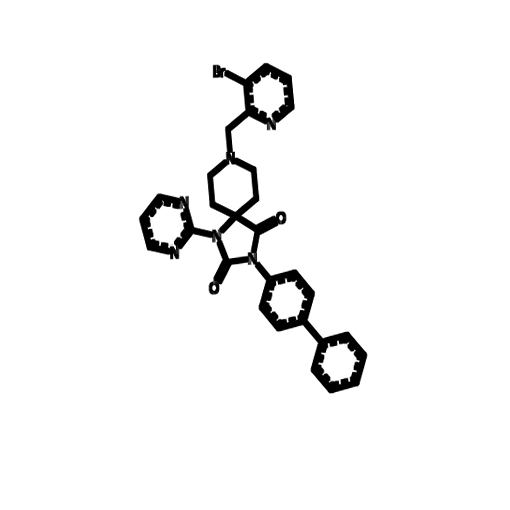 O=C1N(c2ccc(-c3ccccc3)cc2)C(=O)C2(CCN(Cc3ncccc3Br)CC2)N1c1ncccn1